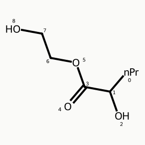 CCCC(O)C(=O)OCCO